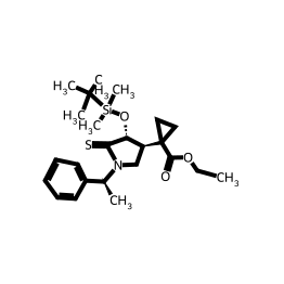 CCOC(=O)C1([C@H]2CN([C@@H](C)c3ccccc3)C(=S)[C@@H]2O[Si](C)(C)C(C)(C)C)CC1